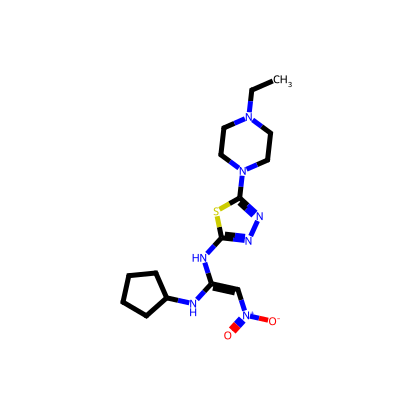 CCN1CCN(c2nnc(NC(=C[N+](=O)[O-])NC3CCCC3)s2)CC1